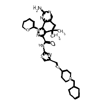 CC1(C)Cc2cnc(N)nc2-c2c1c(C(=O)Nc1nc(COC3CCN(CC4CCCCC4)CC3)cs1)nn2C1CCCCO1